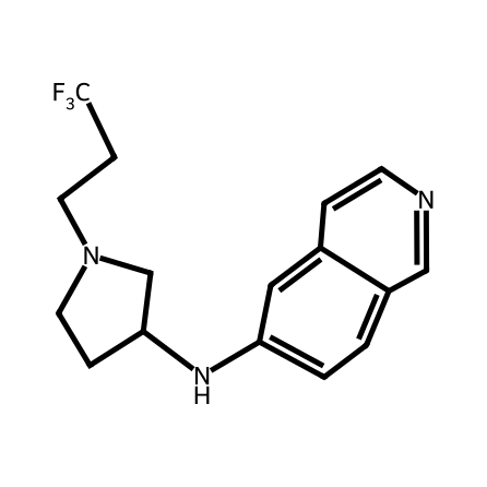 FC(F)(F)CCN1CCC(Nc2ccc3cnccc3c2)C1